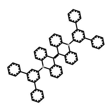 c1ccc(-c2cc(-c3ccccc3)cc(N3c4ccccc4C(=C4c5ccccc5N(c5cc(-c6ccccc6)cc(-c6ccccc6)c5)c5ccccc54)c4ccccc43)c2)cc1